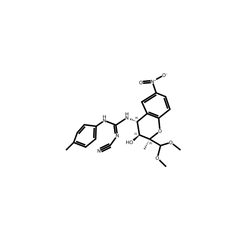 COC(OC)[C@]1(C)Oc2ccc([N+](=O)[O-])cc2[C@@H](NC(=NC#N)Nc2ccc(C)cc2)[C@@H]1O